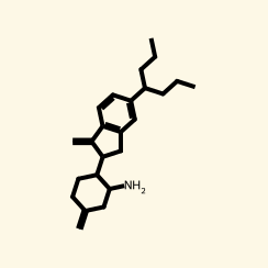 C=C1CCC(C2Cc3cc(C(CCC)CCC)ccc3C2=C)C(N)C1